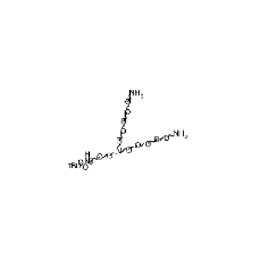 CC(C)(C)OC(=O)NOCCOCCOCCN(CCOCCOCCOCCOCCOCCN)CCOCCOCCOCCOCCOCCN